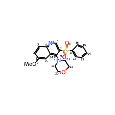 COc1ccc2ncc(S(=O)(=O)c3ccccc3)c(N3CCOCC3)c2c1